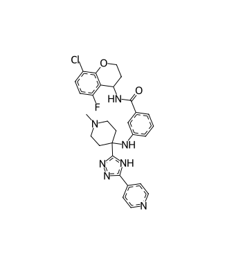 CN1CCC(Nc2cccc(C(=O)NC3CCOc4c(Cl)ccc(F)c43)c2)(c2nnc(-c3ccncc3)[nH]2)CC1